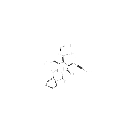 C\C=N/C(N)=C(\C=C\CCC)C(=C/C#CC(C)C)/C(=O)NC(C)c1ccccc1C